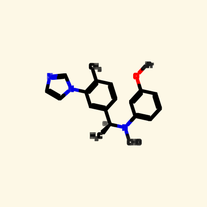 Cc1ccc([C@H](C)N(C=O)c2cccc(OC(C)C)c2)cc1-n1ccnc1